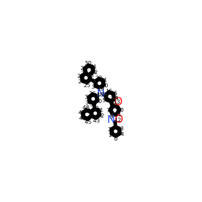 c1ccc(-c2nc3cc4c(cc3o2)oc2ccc(N(c3cccc(-c5cccc6ccccc56)c3)c3cccc(-c5cccc6ccccc56)c3)cc24)cc1